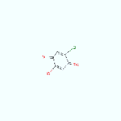 O=C1C=C(Cl)C(=O)C=C1O